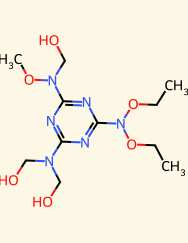 CCON(OCC)c1nc(N(CO)CO)nc(N(CO)OC)n1